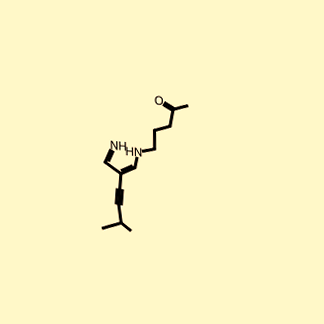 CC(=O)CCCN/C=C(/C#CC(C)C)C=N